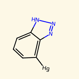 [Hg][c]1cccc2[nH]nnc12